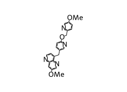 COc1ccc(COc2ccc(Cc3ccnc4cc(OC)cnc34)cn2)nc1